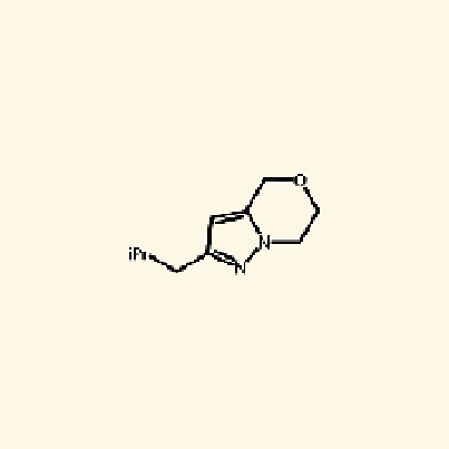 CC(C)Cc1cc2n(n1)CCOC2